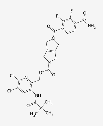 CC(C)(C)C(=O)Nc1cc(Cl)c(Cl)nc1COC(=O)N1CC2=C(C1)CN(C(=O)c1ccc([S+](N)[O-])c(F)c1F)C2